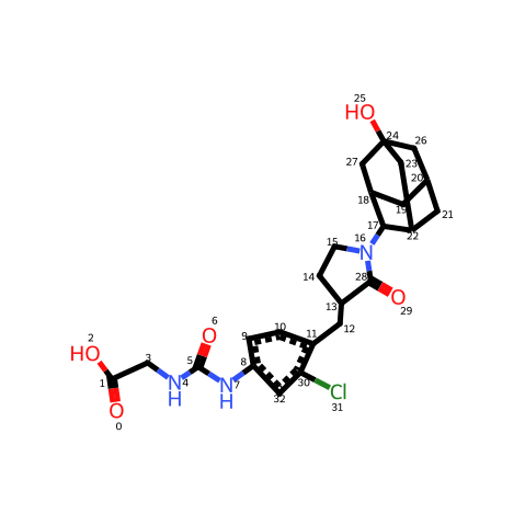 O=C(O)CNC(=O)Nc1ccc(CC2CCN(C3C4CC5CC3CC(O)(C5)C4)C2=O)c(Cl)c1